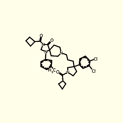 Cc1cccc(N2CN(C(=O)C3CCC3)C(=O)C23CCN(CCCC2(c4ccc(Cl)c(Cl)c4)CCN(C(=O)C4CCC4)C2)CC3)c1